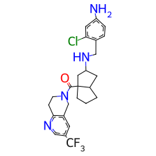 Nc1ccc(CNC2CC3CCCC3(C(=O)N3CCc4ncc(C(F)(F)F)cc4C3)C2)c(Cl)c1